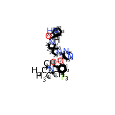 CC(C)N(C(=O)c1cc(F)ccc1Oc1cncnc1N1CCC2(CCN(C(=O)[C@H]3NC4CCC3CC4)C2)C1)C(C)C